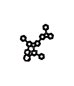 C1#CC(c2cc(-c3ccccc3)nc(-n3c4ccc(-c5ccc6c(c5)c5ccccc5n6-c5ccccc5)cc4c4cc(-c5ccccc5)cc(C5=CCCC=C5)c43)n2)=CC=CC1